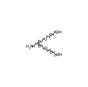 NCCN(OCCOCCOCCO)OCCOCCOCCO